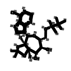 CC1(C)O[C@@H]2[C@@H](O)[C@H](O)[C@@H](CO[Si](C)(C)C(C)(C)C)O[C@@H](n3cnc4c(Cl)ncnc43)[C@@H]2O1